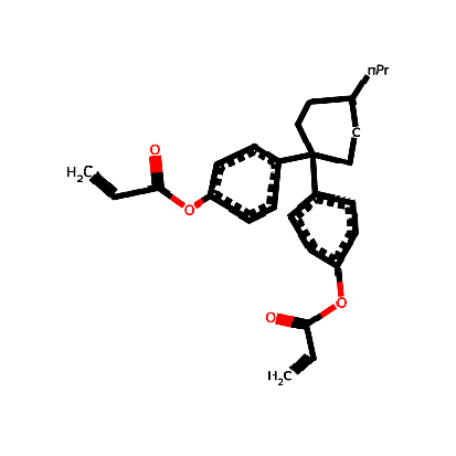 C=CC(=O)Oc1ccc(C2(c3ccc(OC(=O)C=C)cc3)CCC(CCC)CC2)cc1